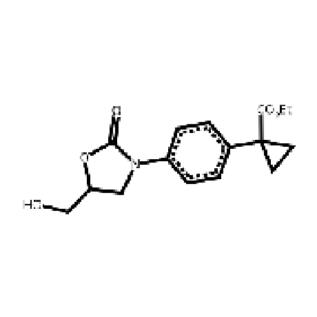 CCOC(=O)C1(c2ccc(N3CC(CO)OC3=O)cc2)CC1